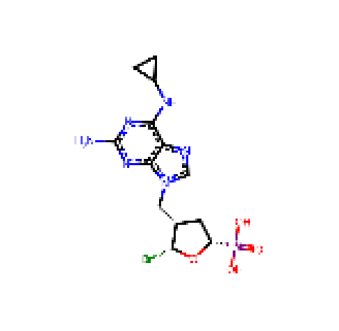 Nc1nc(NC2CC2)c2ncn(C[C@@H]3C[C@H](P(=O)(O)O)O[C@@H]3Br)c2n1